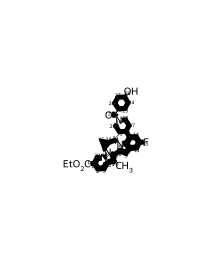 CCOC(=O)c1ccc2c(C)c(-c3cc4cc(F)cc(C5CCN(C(=O)[C@H]6CC[C@H](O)CC6)CC5)c4n3CC3CC3)nn2c1